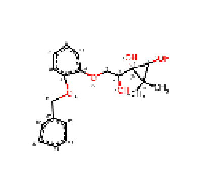 CC1(C)C(O)[C@]1(O)[C@@H](O)COc1ccccc1OCc1ccccc1